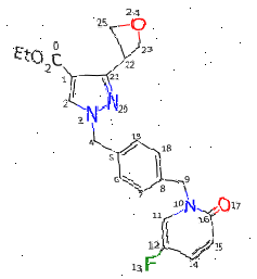 CCOC(=O)c1cn(Cc2ccc(Cn3cc(F)ccc3=O)cc2)nc1C1COC1